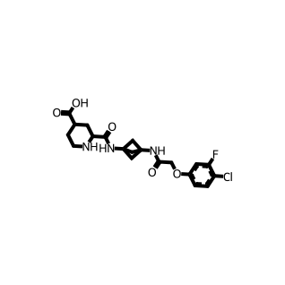 O=C(COc1ccc(Cl)c(F)c1)NC12CC(NC(=O)C3CC(C(=O)O)CCN3)(C1)C2